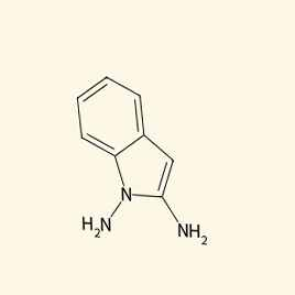 Nc1cc2ccccc2n1N